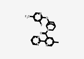 Cc1cnc(-c2ncccn2)c(C(=O)N2CC3CCC2C(Oc2ncc(C(F)(F)F)cc2F)C3)c1